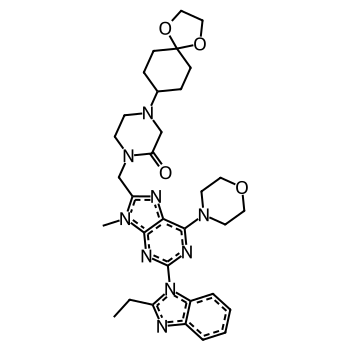 CCc1nc2ccccc2n1-c1nc(N2CCOCC2)c2nc(CN3CCN(C4CCC5(CC4)OCCO5)CC3=O)n(C)c2n1